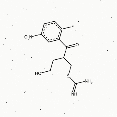 N=C(N)SCC(CCO)C(=O)c1cc([N+](=O)[O-])ccc1F